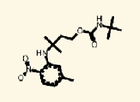 Cc1ccc([N+](=O)[O-])c(NC(C)(C)CCOC(=O)NC(C)(C)C)c1